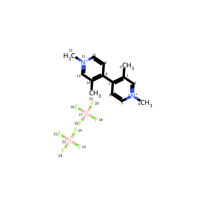 Cc1c[n+](C)ccc1-c1cc[n+](C)cc1C.F[B-](F)(F)F.F[B-](F)(F)F